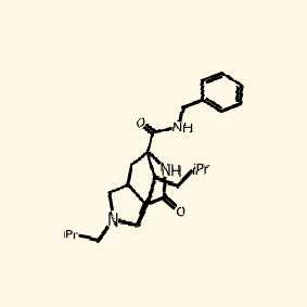 CC(C)CC1C2C3C(=O)NC1(C(=O)NCc1ccccc1)CC3CN2CC(C)C